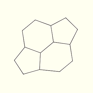 C1CC2CCC3CCC4CCC1C2C43